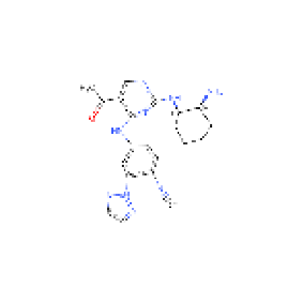 [C-]#[N+]c1ccc(Nc2nc(N[C@@H]3CCCC[C@@H]3N)ncc2C(C)=O)cc1-n1nccn1